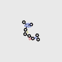 c1ccc(C2=NC(c3ccc4c(c3)sc3c(-c5ccc6c(c5)oc5ccc(-n7c8ccccc8c8ccccc87)cc56)cccc34)NC(c3ccccc3)N2)cc1